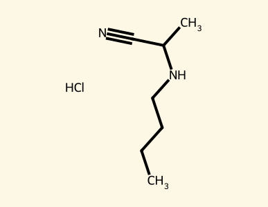 CCCCNC(C)C#N.Cl